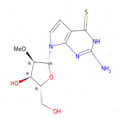 CO[C@@H]1[C@H](O)[C@@H](CO)O[C@H]1n1ccc2c(=S)[nH]c(N)nc21